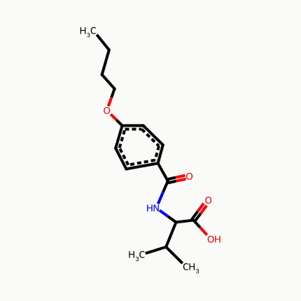 CCCCOc1ccc(C(=O)NC(C(=O)O)C(C)C)cc1